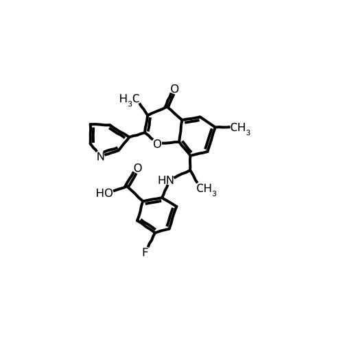 Cc1cc(C(C)Nc2ccc(F)cc2C(=O)O)c2oc(-c3cccnc3)c(C)c(=O)c2c1